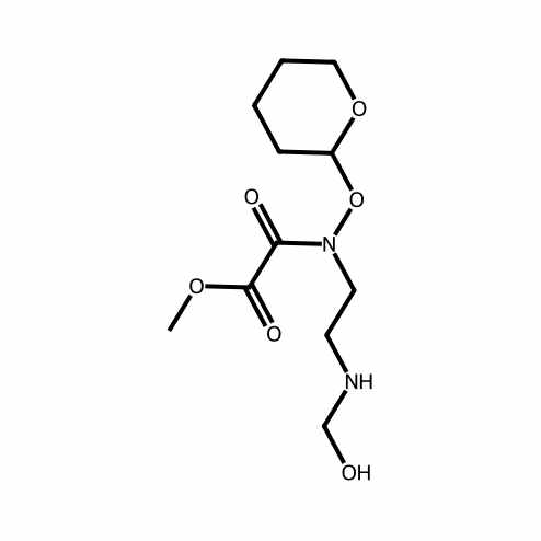 COC(=O)C(=O)N(CCNCO)OC1CCCCO1